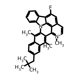 Cc1c2cc(CC(C)(C)C)ccc2c(C)c2c1c1c3c(cc[n+]1C)cc(F)c1c4ccccc4n2c13